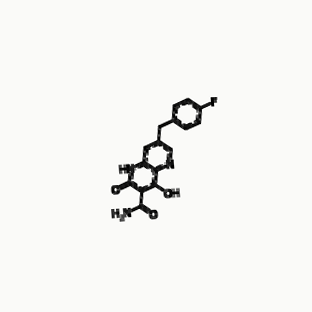 NC(=O)c1c(O)c2ncc(Cc3ccc(F)cc3)cc2[nH]c1=O